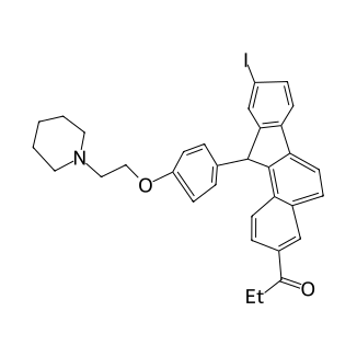 CCC(=O)c1ccc2c3c(ccc2c1)-c1ccc(I)cc1C3c1ccc(OCCN2CCCCC2)cc1